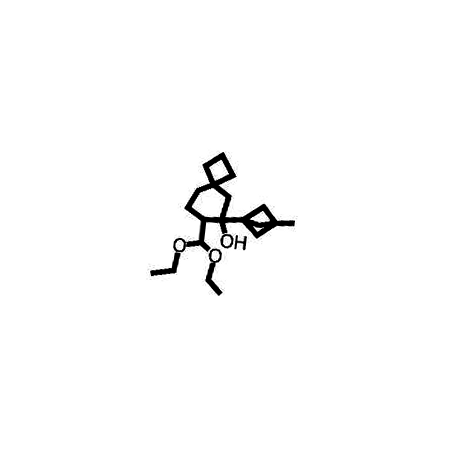 CCOC(OCC)C1CCC2(CCC2)CC1(O)C12CC(C)(C1)C2